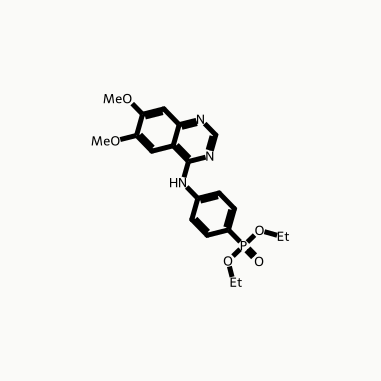 CCOP(=O)(OCC)c1ccc(Nc2ncnc3cc(OC)c(OC)cc23)cc1